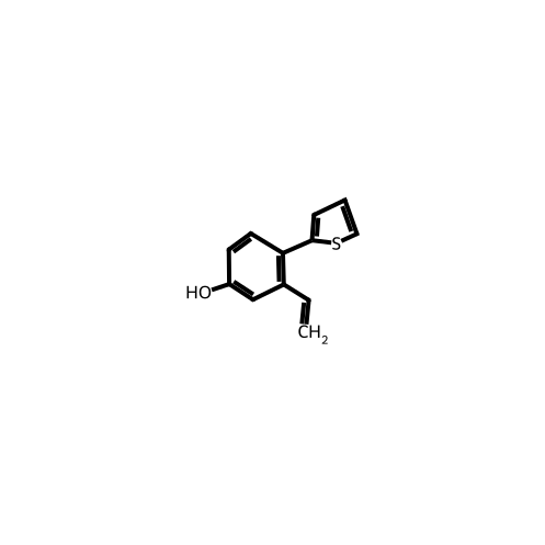 C=Cc1cc(O)ccc1-c1cccs1